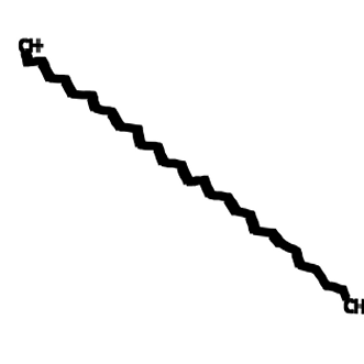 [CH]=C/C=C/C=C/C=C/C=C/C=C/C=C/C=C/C=C/C=C/C=C/C=C/C=C/CCCC